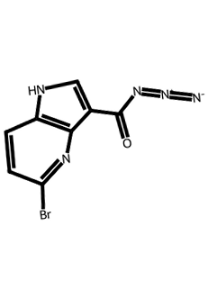 [N-]=[N+]=NC(=O)c1c[nH]c2ccc(Br)nc12